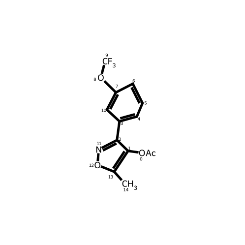 CC(=O)Oc1c(-c2cccc(OC(F)(F)F)c2)noc1C